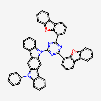 c1ccc(-n2c3ccccc3c3cc4c(cc32)c2ccccc2n4-c2nc(-c3cccc4c3oc3ccccc34)nc(-c3cccc4c3oc3ccccc34)n2)cc1